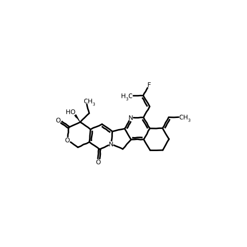 C/C=C1\CCCc2c3c(nc(/C=C(\C)F)c21)-c1cc2c(c(=O)n1C3)COC(=O)[C@]2(O)CC